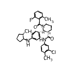 Cc1ccc(NC(=O)[C@H]2CCCN(C(=O)c3c(C)cccc3F)[C@H]2c2ccc(NC3CCCC3C)cc2)cc1Cl